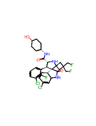 O=C(N[C@H]1CC[C@H](O)CC1)[C@@H]1NC2(CC(CF)(CF)C2)[C@@]2(C(=O)NC3C=C(Cl)C=CC32)[C@H]1c1cccc(Cl)c1F